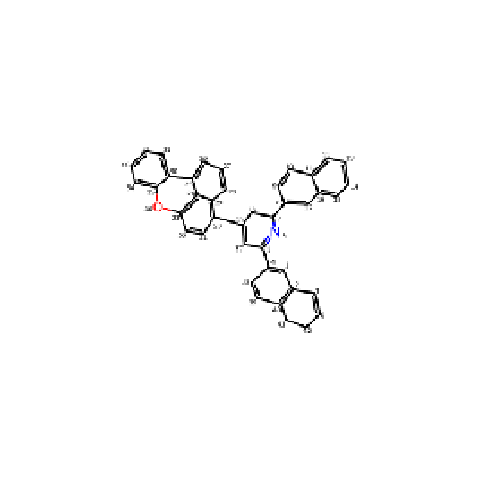 C1=Cc2cc(C3=NC(c4ccc5ccccc5c4)CC(c4ccc5c6c(cccc46)-c4ccccc4O5)=C3)ccc2CC1